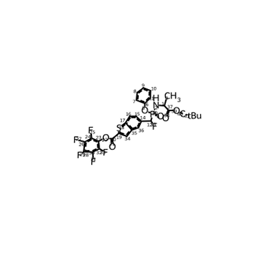 CC(N[P@](=O)(Oc1ccccc1)C(F)c1ccc2sc(C(=O)Oc3c(F)c(F)c(F)c(F)c3F)cc2c1)C(=O)OCC(C)(C)C